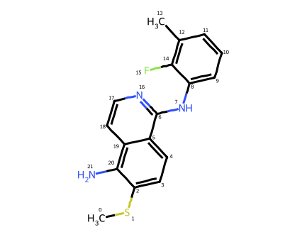 CSc1ccc2c(Nc3cccc(C)c3F)nccc2c1N